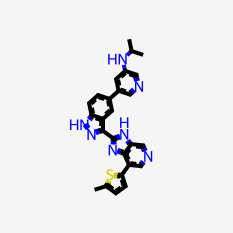 Cc1ccc(-c2cncc3[nH]c(-c4n[nH]c5ccc(-c6cncc(NC(C)C)c6)cc45)nc23)s1